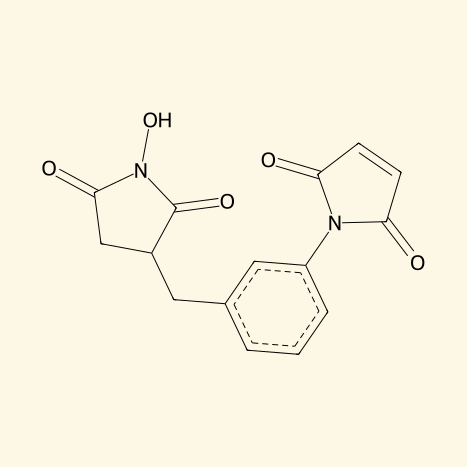 O=C1CC(Cc2cccc(N3C(=O)C=CC3=O)c2)C(=O)N1O